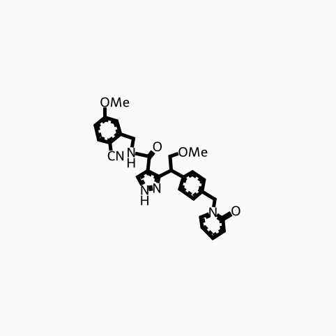 COCC(c1ccc(Cn2ccccc2=O)cc1)c1n[nH]cc1C(=O)NCc1cc(OC)ccc1C#N